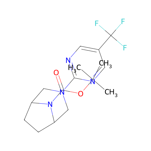 CC(C)(C)OC(=O)N1C2CCC1CN(c1ncc(C(F)(F)F)cn1)C2